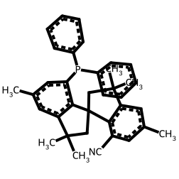 Cc1cc(C#N)c2c(c1)C(C)(C)CC21CC(C)(C)c2cc(C)cc(P(c3ccccc3)c3ccccc3)c21